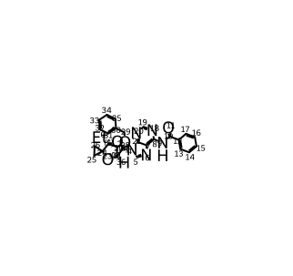 CC[C@@]12O[C@@H](n3cnc4c(NC(=O)c5ccccc5)ncnc43)[C@@H](OC13CC3)C2OCc1ccccc1